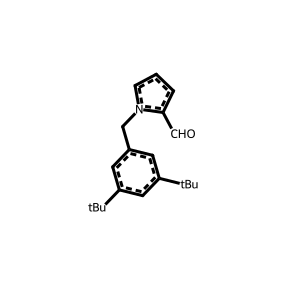 CC(C)(C)c1cc(Cn2cccc2C=O)cc(C(C)(C)C)c1